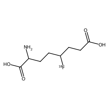 NC(CCC([18F])CCC(=O)O)C(=O)O